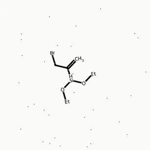 C=C(CBr)[SiH](OCC)OCC